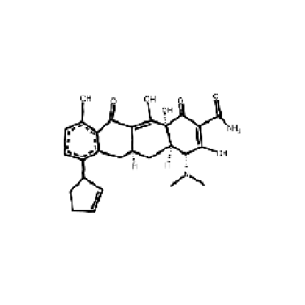 CN(C)[C@H]1C(O)=C(C(N)=O)C(=O)[C@]2(O)C(O)=C3C(=O)c4c(O)ccc(C5C=CCC5)c4C[C@@H]3C[C@H]12